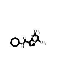 Cc1cc(C)n2ccc(C(=O)NC3CCCCCC3)c2n1